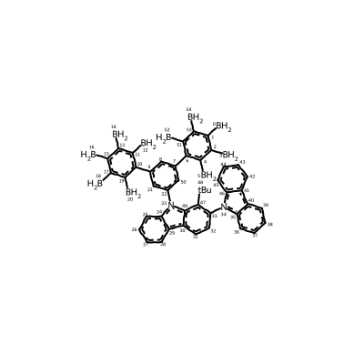 Bc1c(B)c(B)c(-c2cc(-c3c(B)c(B)c(B)c(B)c3B)cc(-n3c4ccccc4c4ccc(-n5c6ccccc6c6ccccc65)c(C(C)(C)C)c43)c2)c(B)c1B